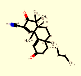 CCCC[C@@H]1CC(=O)C=C2C3(C)C=C(C#N)C(=O)C(C)(C)[C@@H]3CCC21C